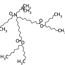 CCCCCCCC(=O)N(CCCN(C)C)C(CCCCCCCCC(=O)OC(CCCCCC)CCCCCC)CCCCCCCCC(=O)OC(CCCCCC)CCCCCCC